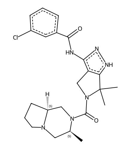 C[C@H]1CN2CCC[C@H]2CN1C(=O)N1Cc2c(NC(=O)c3cccc(Cl)c3)n[nH]c2C1(C)C